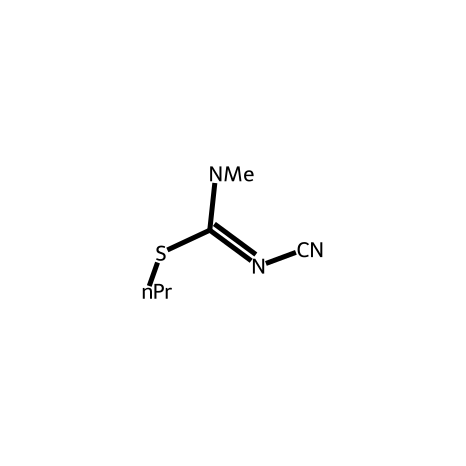 [CH2]CCSC(=NC#N)NC